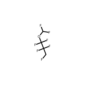 FCC(F)(F)C(F)(F)OC(F)F